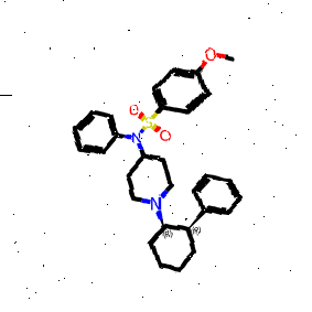 COc1ccc(S(=O)(=O)N(c2ccccc2)C2CCN([C@@H]3CCCC[C@@H]3c3ccccc3)CC2)cc1